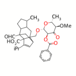 CO[C@H]1C(=O)[C@@H](OC(=O)c2ccccc2)[C@H](OCC23CC4C(C)CCC4C4(C=O)CC2C=C(C(C)C)C43C(=O)O)O[C@@H]1C